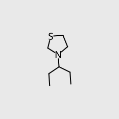 CCC(CC)N1CCSC1